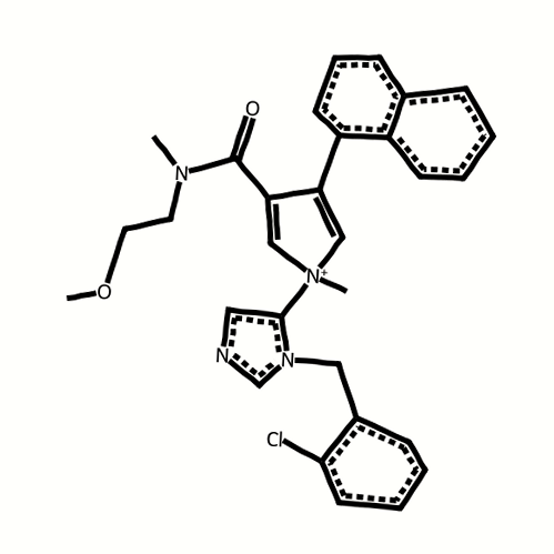 COCCN(C)C(=O)C1=C[N+](C)(c2cncn2Cc2ccccc2Cl)C=C1c1cccc2ccccc12